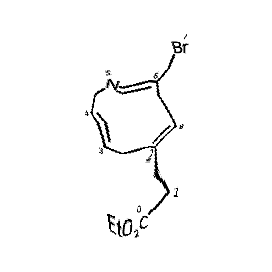 CCOC(=O)Cc1ccnc(Br)c1